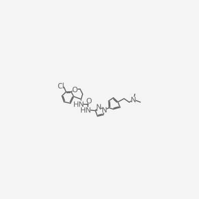 CN(C)CCc1ccc(-n2ccc(NC(=O)N[C@H]3CCOc4c(Cl)cccc43)n2)cc1